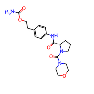 NC(=O)OCCc1ccc(NC(=O)[C@@H]2CCCN2C(=O)N2CCOCC2)cc1